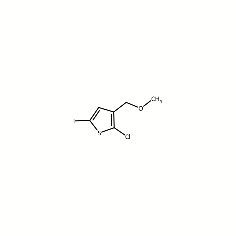 COCc1cc(I)sc1Cl